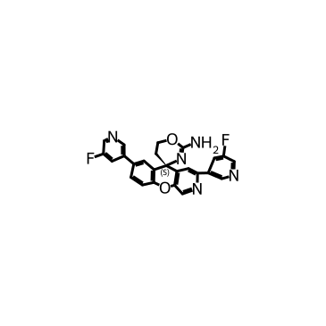 NC1=N[C@@]2(CCO1)c1cc(-c3cncc(F)c3)ccc1Oc1cnc(-c3cncc(F)c3)cc12